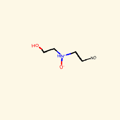 O=NCC[NH+]([O-])CCO